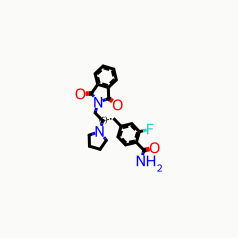 NC(=O)c1ccc(C[C@@H](CN2C(=O)c3ccccc3C2=O)N2CCCC2)cc1F